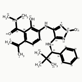 C=C(C)c1ccc(Nc2n[s+]([O-])nc2N[C@@H](c2ccccc2)C(C)(C)C)c(O)c1C(=O)N(C)C